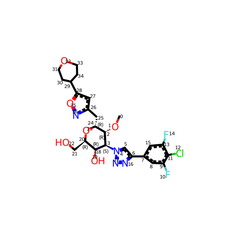 CO[C@@H]1[C@@H](n2cc(-c3cc(F)c(Cl)c(F)c3)nn2)[C@@H](O)[C@@H](CO)O[C@@H]1Cc1cc(C2CCOCC2)on1